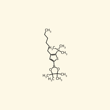 CCCCCCc1cc(B2OC(C)(C)C(C)(C)O2)sc1[Si](C)(C)C